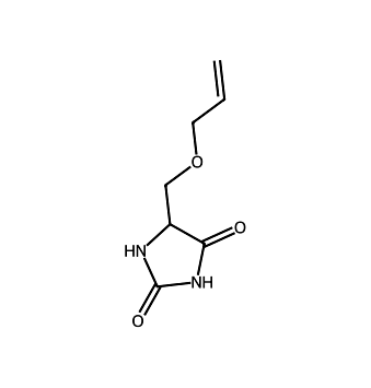 C=CCOCC1NC(=O)NC1=O